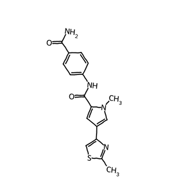 Cc1nc(-c2cc(C(=O)Nc3ccc(C(N)=O)cc3)n(C)c2)cs1